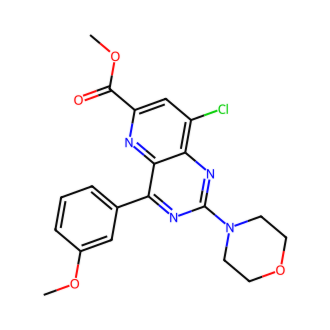 COC(=O)c1cc(Cl)c2nc(N3CCOCC3)nc(-c3cccc(OC)c3)c2n1